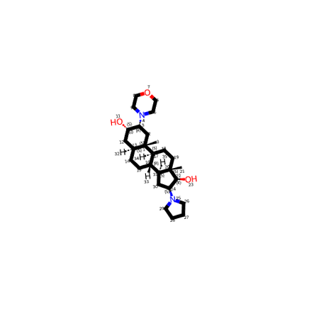 C[C@]12C[C@@H](N3CCOCC3)[C@@H](O)C[C@@H]1CC[C@@H]1[C@@H]2CC[C@]2(C)[C@@H](O)[C@@H](N3CCCC3)C[C@@H]12